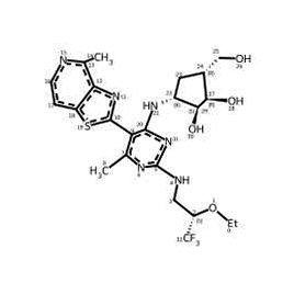 CCO[C@@H](CNc1nc(C)c(-c2nc3c(C)nccc3s2)c(N[C@@H]2C[C@H](CO)[C@@H](O)[C@H]2O)n1)C(F)(F)F